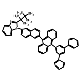 BC(B)(B)C(B)(B)c1nc2ccccc2n1-c1ccc2cc(-c3c4ccccc4c(-c4cc(-c5ccccc5)cc(-c5ccccc5)c4)c4ccccc34)ccc2c1